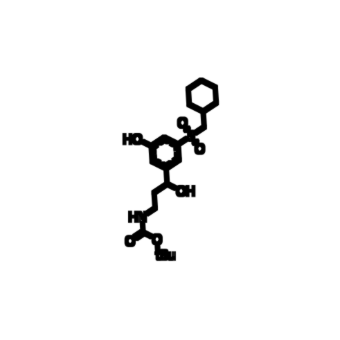 CC(C)(C)OC(=O)NCCC(O)c1cc(O)cc(S(=O)(=O)CC2CCCCC2)c1